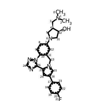 CN(C)C[C@@H]1CN(c2ccc3c(c2)Cn2cc(-c4ccc(F)cc4)cc2-c2ncnn2-3)C[C@@H]1O